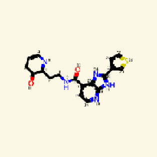 O=C1CC=CN=C1CCNC(=O)c1ccnc2[nH]c(-c3ccsc3)nc12